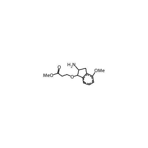 COC(=O)CCOC1c2cccc(OC)c2CC1N